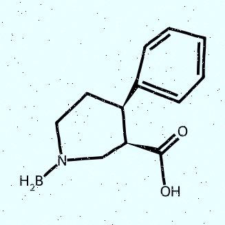 BN1CC[C@@H](c2ccccc2)[C@@H](C(=O)O)C1